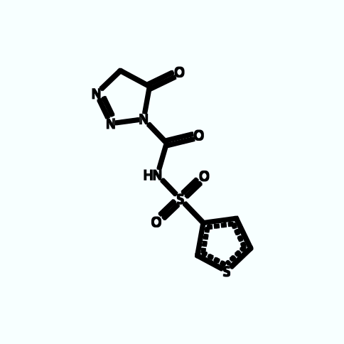 O=C1CN=NN1C(=O)NS(=O)(=O)c1ccsc1